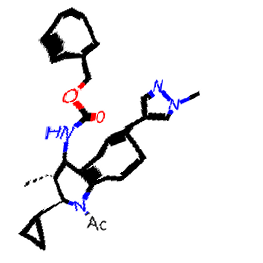 CC(=O)N1c2ccc(-c3cnn(C)c3)cc2C(NC(=O)OCc2ccccc2)[C@@H](C)[C@@H]1C1CC1